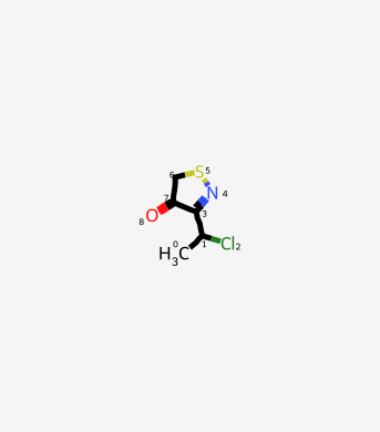 CC(Cl)C1=NSCC1=O